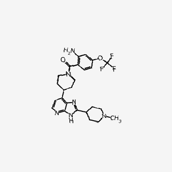 CN1CCC(c2nc3c(C4CCN(C(=O)c5ccc(OC(F)(F)F)cc5N)CC4)ccnc3[nH]2)CC1